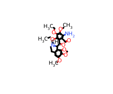 CCOc1c(N)c2c(c(OCC)c1OCC)C(C1c3c(cc(OC)c4c3OCO4)CCN1C)OC2=O